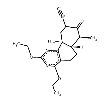 [C-]#[N+]C1C[C@]2(C)c3nc(OCC)nc(OCC)c3CC[C@H]2[C@H](C)C1=O